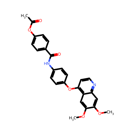 COc1cc2nccc(Oc3ccc(NC(=O)c4ccc(OC(C)=O)cc4)cc3)c2cc1OC